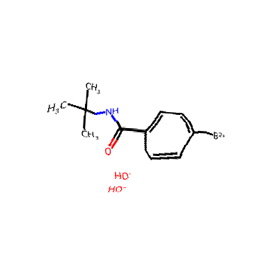 [B+2]c1ccc(C(=O)NC(C)(C)C)cc1.[OH-].[OH-]